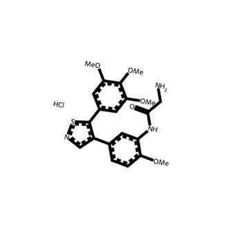 COc1ccc(-c2cnsc2-c2cc(OC)c(OC)c(OC)c2)cc1NC(=O)CN.Cl